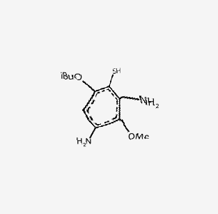 COc1c(N)cc(OCC(C)C)c(S)c1N